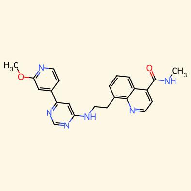 CNC(=O)c1ccnc2c(CCNc3cc(-c4ccnc(OC)c4)ncn3)cccc12